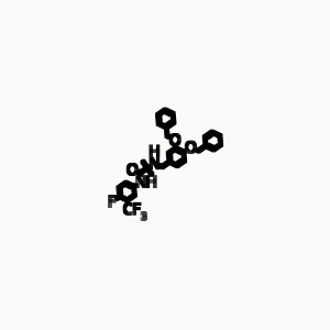 CC(C)(NCc1ccc(OCC2=CCCC=C2)c(OCc2ccccc2)c1)C(=O)NC1=CC=C(F)C(C(F)(F)F)C1